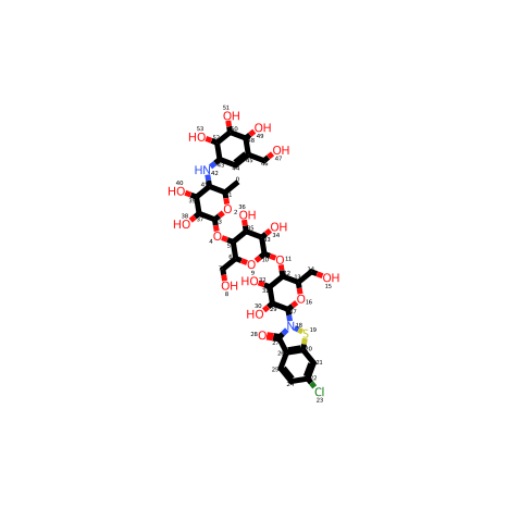 CC1OC(OC2C(CO)OC(OC3C(CO)OC(n4sc5cc(Cl)ccc5c4=O)C(O)C3O)C(O)C2O)C(O)C(O)C1NC1C=C(CO)C(O)C(O)C1O